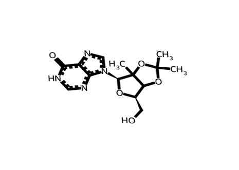 CC1(C)OC2[C@@H](CO)O[C@@H](n3cnc4c(=O)[nH]cnc43)C2(C)O1